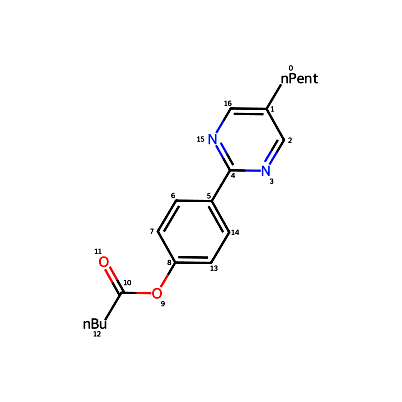 CCCCCc1cnc(-c2ccc(OC(=O)CCCC)cc2)nc1